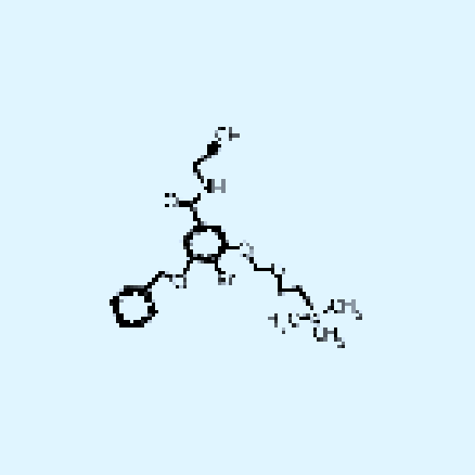 C#CCNC(=O)c1cc(OCOCC[Si](C)(C)C)c(Br)c(OCc2ccccc2)c1